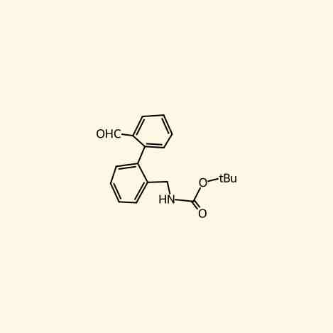 CC(C)(C)OC(=O)NCc1ccccc1-c1ccccc1C=O